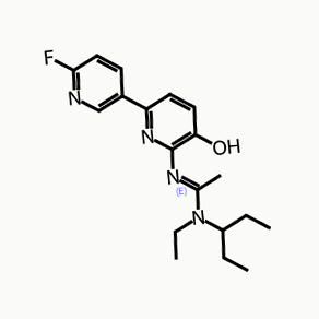 CCC(CC)N(CC)/C(C)=N/c1nc(-c2ccc(F)nc2)ccc1O